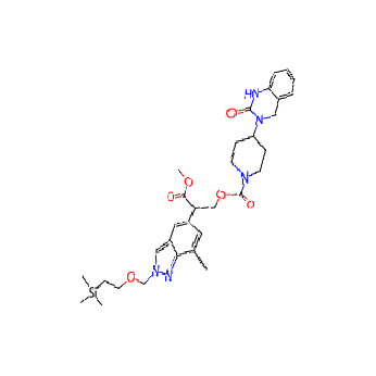 COC(=O)C(COC(=O)N1CCC(N2Cc3ccccc3NC2=O)CC1)c1cc(C)c2nn(COCC[Si](C)(C)C)cc2c1